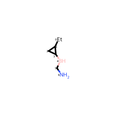 CCC1CC1BCN